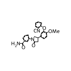 COc1ccc(C2CC(=O)N(c3cccc(C(N)=O)c3)C2)cc1Oc1ccccc1C#N